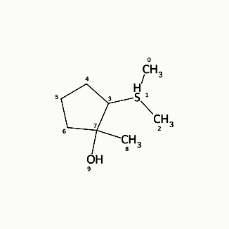 C[SH](C)C1CCCC1(C)O